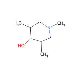 CC1CN(C)CC(C)C1O